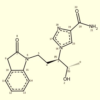 C[C@H](O)[C@@H](CCN1C(=O)Cc2ccccc21)n1cnc(C(N)=O)c1